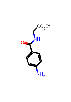 CCOC(=O)CNC(=O)c1ccc(N)cc1